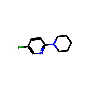 Fc1ccc(N2CCCCC2)nc1